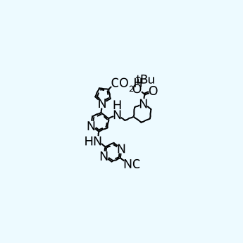 [C-]#[N+]c1cnc(Nc2cc(NCC3CCCN(C(=O)OC(C)(C)C)C3)c(-n3ccc(C(=O)O)c3)cn2)cn1